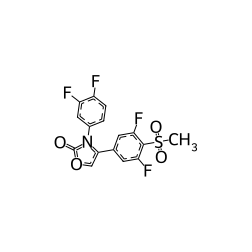 CS(=O)(=O)c1c(F)cc(-c2coc(=O)n2-c2ccc(F)c(F)c2)cc1F